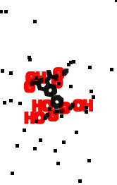 C=COC(=O)C(=C)Cc1ccccc1CC(=C)C(=O)O.OCCOCCOCCO.Oc1ccccc1